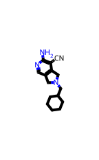 N#Cc1c(N)ncc2c1CN(CC1CCCCC1)C2